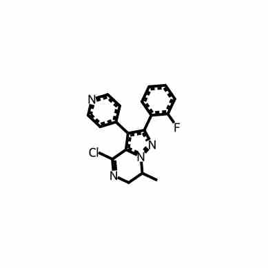 CC1CN=C(Cl)c2c(-c3ccncc3)c(-c3ccccc3F)nn21